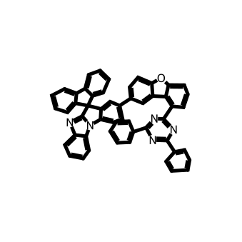 c1ccc(-c2nc(-c3ccccc3)nc(-c3cccc4oc5ccc(-c6ccc7c(c6)C6(c8ccccc8-c8ccccc86)c6nc8ccccc8n6-7)cc5c34)n2)cc1